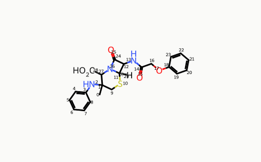 CC1(Nc2ccccc2)CS[C@H]2C(NC(=O)COc3ccccc3)C(=O)N2C1C(=O)O